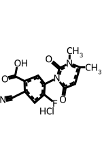 Cc1cc(=O)n(-c2cc(C(=O)O)c(C#N)cc2F)c(=O)n1C.Cl